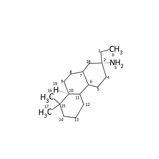 CC[C@@]1(N)CCC2C(CC[C@H]3C2CCCC3(C)C)C1